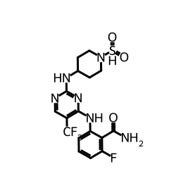 NC(=O)c1c(F)cccc1Nc1nc(NC2CCN([SH](=O)=O)CC2)ncc1C(F)(F)F